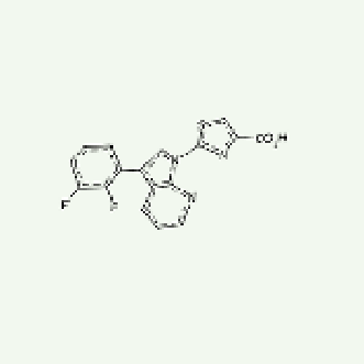 O=C(O)c1csc(-n2cc(-c3cccc(F)c3F)c3cccnc32)n1